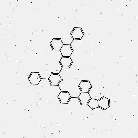 C1=CC2C(c3ccccc3)=Cc3ccc(-c4nc(-c5ccccc5)nc(-c5cccc(-c6nc7oc8ccccc8c7c7ccccc67)c5)n4)cc3C2C=C1